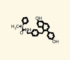 CN(C(=O)NCc1ccc(Cc2c(-c3ccc(O)cc3)ccc3cc(O)ccc23)cc1)c1ccccc1